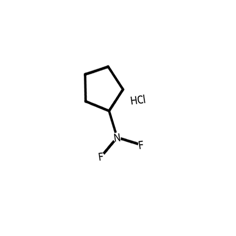 Cl.FN(F)C1CCCC1